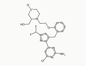 Nc1nc(Cl)cc(-c2nn(C(F)F)cc2Cc2ccccc2OCCN2CC[S+]([O-])CC2CO)n1